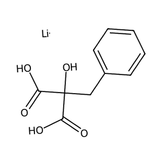 O=C(O)C(O)(Cc1ccccc1)C(=O)O.[Li]